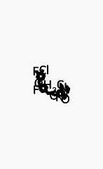 CN1CCCn2c1cc(OCCc1ccc(Oc3ccc(Cl)c(F)c3)c(F)c1)nc2=O